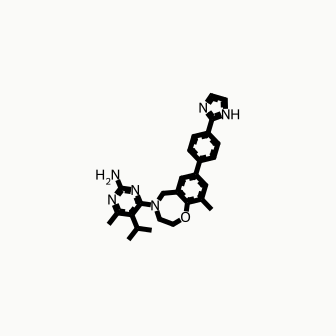 Cc1cc(-c2ccc(-c3ncc[nH]3)cc2)cc2c1OCCN(c1nc(N)nc(C)c1C(C)C)C2